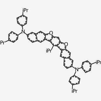 CC(C)c1ccc(N(c2ccc(C(C)C)cc2)c2ccc3cc4c(cc3c2)oc2cc3oc5cc6cc(N(c7ccc(C(C)C)cc7)c7ccc(C(C)C)cc7)ccc6cc5c3c(C(C)C)c24)cc1